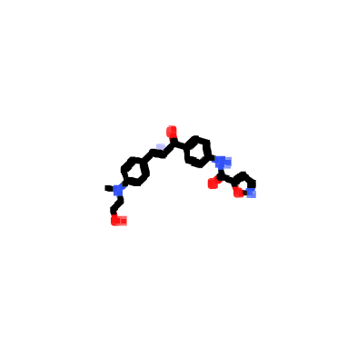 CN(CCO)c1ccc(/C=C/C(=O)c2ccc(NC(=O)c3ccno3)cc2)cc1